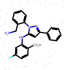 NCc1ccccc1-n1nc(-c2ccccc2)cc1Nc1cc(F)ccc1C(=O)O